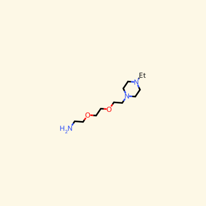 CCN1CCN(CCOCCOCCN)CC1